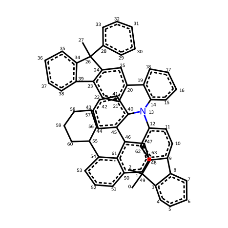 CC1(C)c2ccccc2-c2ccc(N(c3ccccc3-c3ccc4c(c3)C(C)(c3ccccc3)c3ccccc3-4)c3ccccc3-c3cccc4cccc(C5CCCCC5)c34)cc21